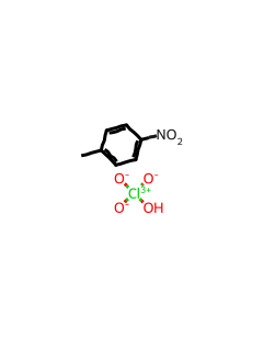 Cc1ccc([N+](=O)[O-])cc1.[O-][Cl+3]([O-])([O-])O